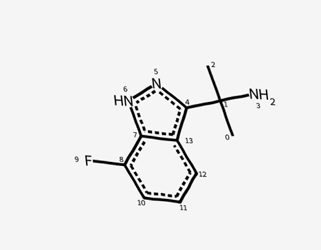 CC(C)(N)c1n[nH]c2c(F)cccc12